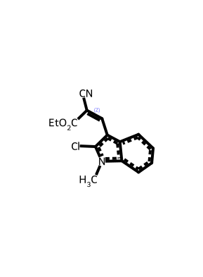 CCOC(=O)/C(C#N)=C\c1c(Cl)n(C)c2ccccc12